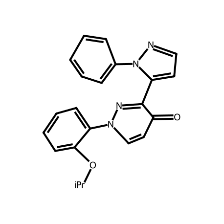 CC(C)Oc1ccccc1-n1ccc(=O)c(-c2ccnn2-c2ccccc2)n1